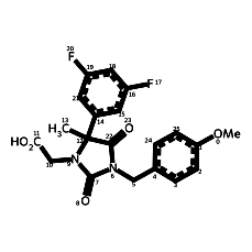 COc1ccc(CN2C(=O)N(CC(=O)O)C(C)(c3cc(F)cc(F)c3)C2=O)cc1